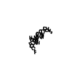 CC1Cc2cc3c(c(NC(=O)N=S(N)(=O)c4cnn5c4OCC(C)(C)C5)c21)CC(F)C3